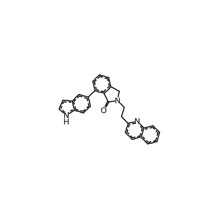 O=C1c2c(cccc2-c2ccc3[nH]ccc3c2)CN1CCc1ccc2ccccc2n1